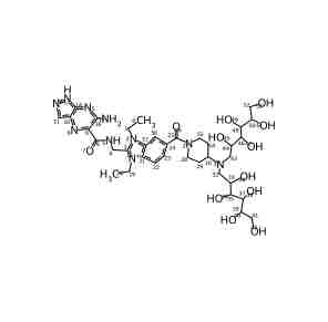 CCn1c(CNC(=O)c2nc3cn[nH]c3nc2N)[n+](CC)c2ccc(C(=O)N3CCC(N(CC(O)C(O)C(O)C(O)CO)CC(O)C(O)C(O)C(O)CO)CC3)cc21